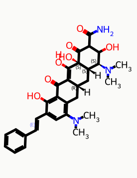 CN(C)c1cc(/C=C/c2ccccc2)c(O)c2c1C[C@H]1C[C@H]3[C@H](N(C)C)C(O)C(C(N)=O)C(=O)[C@@]3(O)C(O)=C1C2=O